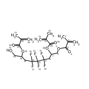 C=C(C)C(=O)OCC(CC(F)(F)C(F)(F)C(F)(F)CC(CO)OC(=O)C(=C)C)OC(=O)C(=C)C